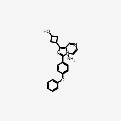 N[N+]12C=CN=CC1=C(C1CC(O)C1)N=C2c1ccc(Oc2ccccc2)cc1